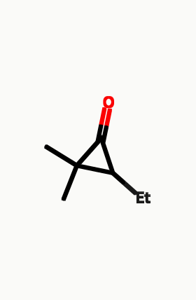 CCC1C(=O)C1(C)C